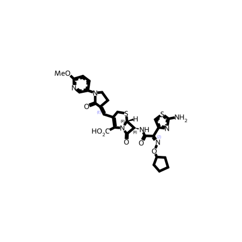 COc1ccc(N2CC/C(=C\C3=C(C(=O)O)N4C(=O)[C@@H](NC(=O)/C(=N\OC5CCCC5)c5csc(N)n5)[C@H]4SC3)C2=O)cn1